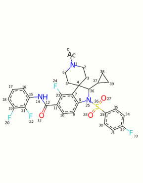 CC(=O)N1CCC2(CC1)c1c(ccc(C(=O)Nc3cccc(F)c3F)c1F)N(S(=O)(=O)c1ccc(F)cc1)C2C1CC1